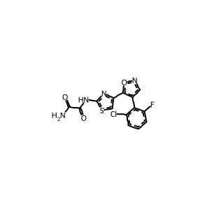 NC(=O)C(=O)Nc1nc(-c2oncc2-c2c(F)cccc2Cl)cs1